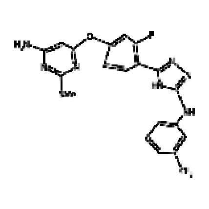 CSc1nc(N)cc(Oc2ccc(-c3nnc(Nc4cccc(C(F)(F)F)c4)[nH]3)c(F)c2)n1